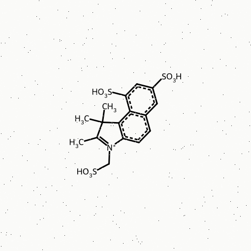 CC1=[N+](CS(=O)(=O)O)c2ccc3cc(S(=O)(=O)O)cc(S(=O)(=O)O)c3c2C1(C)C